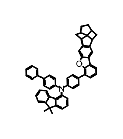 CC1(C)c2ccccc2-c2c(N(c3ccc(-c4ccccc4)cc3)c3ccc(-c4cccc5c4oc4cc6c(cc45)C4CC5CCC7CC6C754)cc3)cccc21